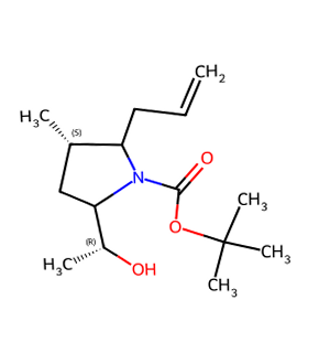 C=CCC1[C@@H](C)CC([C@@H](C)O)N1C(=O)OC(C)(C)C